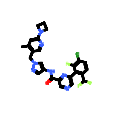 Cc1cc(N2CCC2)ncc1Cn1cc(NC(=O)c2cncc(-c3c(C(F)F)ccc(Cl)c3F)n2)cn1